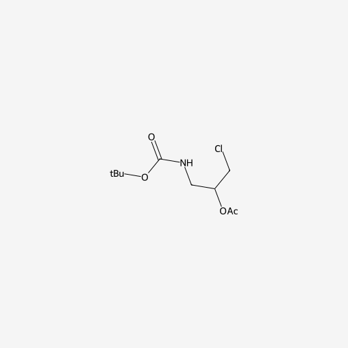 CC(=O)OC(CCl)CNC(=O)OC(C)(C)C